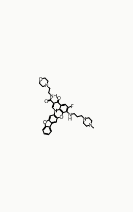 CN1CCN(CCCNc2c(F)cc3c(=O)c(C(=O)NCCN4CCOCC4)cn4c3c2Oc2cc3c(cc2-4)oc2ccccc23)CC1